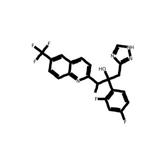 CC(c1ccc2cc(C(F)(F)F)ccc2n1)C(O)(Cc1nc[nH]n1)c1ccc(F)cc1F